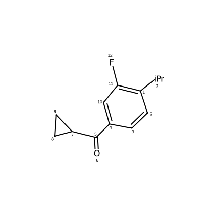 CC(C)c1ccc(C(=O)C2CC2)cc1F